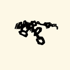 Cn1ccc(COc2ccc3nc(C4CCCCC4C(=O)O)n(Cc4cccc(N5CCCCC5)c4)c3c2)n1